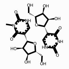 Cn1c(=O)[nH]cc([C@@H]2O[C@H](CO)[C@@H](O)[C@H]2O)c1=O.O=c1[nH]cc([C@@H]2O[C@H](CO)[C@@H](O)[C@H]2O)c(=O)[nH]1